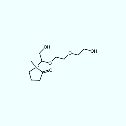 C[N+]1(C(CO)OCCOCCO)CCCC1=O